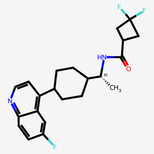 C[C@@H](NC(=O)C1CC(F)(F)C1)C1CCC(c2ccnc3ccc(F)cc23)CC1